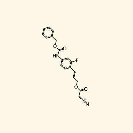 [N-]=[N+]=CC(=O)OCC=Cc1ccc(NC(=O)OCc2ccccc2)cc1F